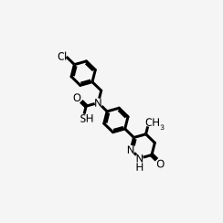 CC1CC(=O)NN=C1c1ccc(N(Cc2ccc(Cl)cc2)C(=O)S)cc1